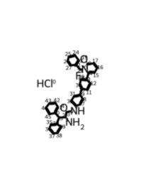 Cl.N[C@H](C(=O)Nc1ccc(-c2ccc(-c3cccc(=O)n3Cc3ccccc3)c(F)c2)cc1)C(c1ccccc1)c1ccccc1